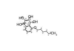 CCCCCCOc1cccc2c1C(O)C(O)=C(O)[N+]2O